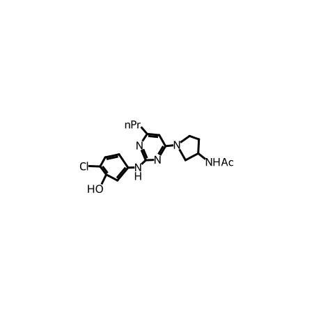 CCCc1cc(N2CCC(NC(C)=O)C2)nc(Nc2ccc(Cl)c(O)c2)n1